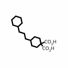 O=C(O)C1(C(=O)O)CCC(CCCC2CCCCC2)CC1